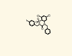 O=C1N(Cc2ccccc2)c2cc(Cl)cc(Cl)c2S(=O)(=O)N1Cc1ccc(I)cc1